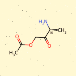 CC(=O)OCC(=O)[C@H](C)N